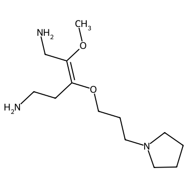 CO/C(CN)=C(/CCN)OCCCN1CCCC1